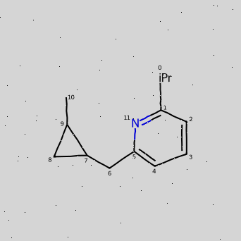 CC(C)c1cccc(CC2CC2C)n1